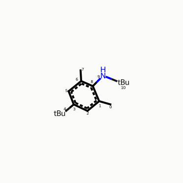 Cc1cc(C(C)(C)C)cc(C)c1NC(C)(C)C